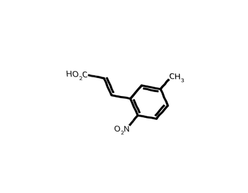 Cc1ccc([N+](=O)[O-])c(C=CC(=O)O)c1